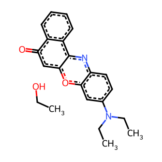 CCN(CC)c1ccc2nc3c4ccccc4c(=O)cc-3oc2c1.CCO